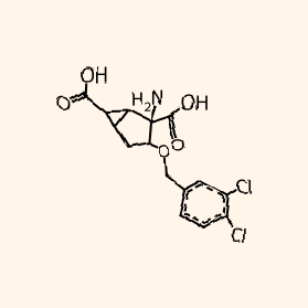 N[C@@]1(C(=O)O)C(OCc2ccc(Cl)c(Cl)c2)CC2C(C(=O)O)C21